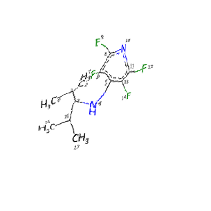 CC(C)C(Nc1c(F)c(F)nc(F)c1F)C(C)C